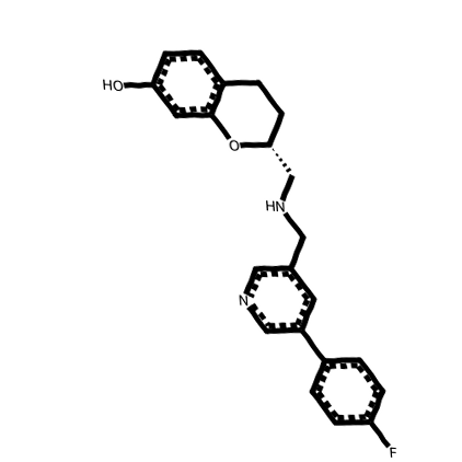 Oc1ccc2c(c1)O[C@@H](CNCc1cncc(-c3ccc(F)cc3)c1)CC2